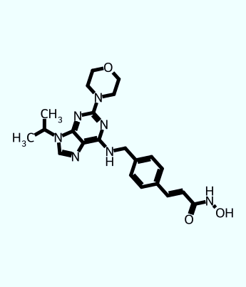 CC(C)n1cnc2c(NCc3ccc(/C=C/C(=O)NO)cc3)nc(N3CCOCC3)nc21